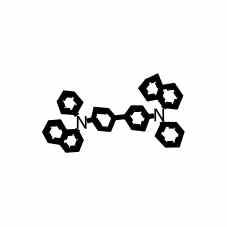 C1=CC(c2ccc(N(c3ccccc3)c3cccc4ccccc34)cc2)CC=C1N(c1ccccc1)c1cccc2ccccc12